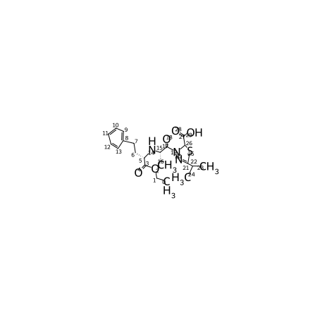 CCOC(=O)[C@H](CCc1ccccc1)N[C@@H](C)C(=O)N1N=C(C(C)C)SC1C(=O)O